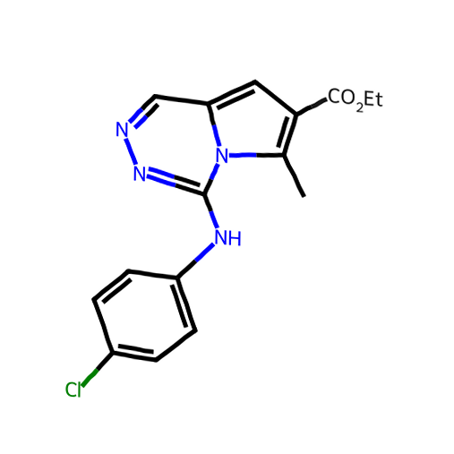 CCOC(=O)c1cc2cnnc(Nc3ccc(Cl)cc3)n2c1C